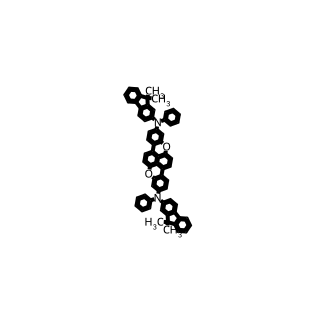 CC1(C)c2ccccc2-c2ccc(N(c3ccccc3)c3ccc4c(c3)Oc3ccc5c6c(ccc-4c36)Oc3cc(N(c4ccccc4)c4ccc6c(c4)C(C)(C)c4ccccc4-6)ccc3-5)cc21